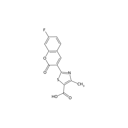 Cc1nc(-c2cc3ccc(F)cc3oc2=O)sc1C(=O)O